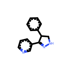 c1ccc(C2CNN=C2c2cccnc2)cc1